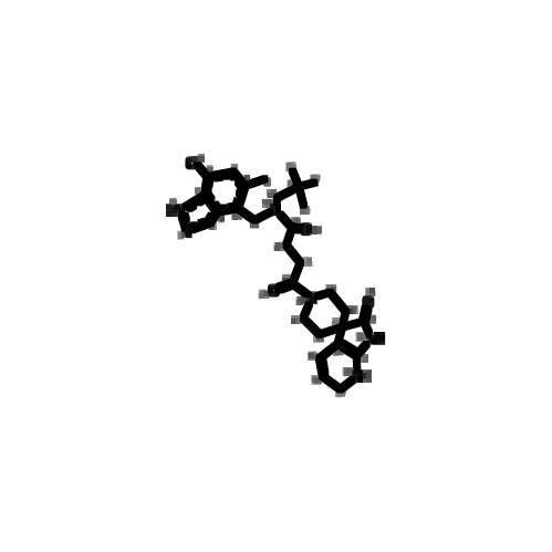 Cc1cc(Cl)c2[nH]ncc2c1CN(CC(C)(C)C)C(=O)CCC(=O)N1CCC2(CC1)C(=O)NC1=C2C=CCN1